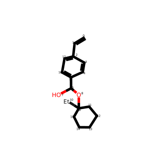 C=Cc1ccc(C(O)OC2(CC)CCCCC2)cc1